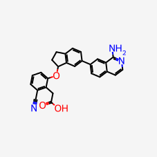 N#Cc1cccc(OC2CCc3ccc(-c4ccc5ccnc(N)c5c4)cc32)c1CC(=O)O